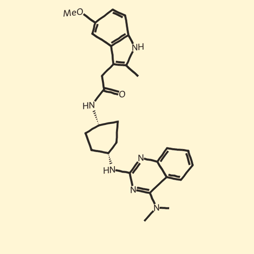 COc1ccc2[nH]c(C)c(CC(=O)N[C@H]3CC[C@@H](Nc4nc(N(C)C)c5ccccc5n4)CC3)c2c1